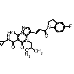 CC(C)Cn1c(=O)c(C(=O)NC2CC2)c(O)n2ncc(C=CC(=O)N3CCc4cc(F)ccc43)c12